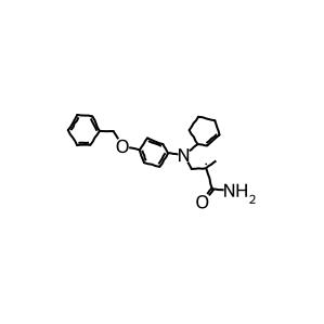 C[C](CN(c1ccc(OCc2ccccc2)cc1)C1C=CCCC1)C(N)=O